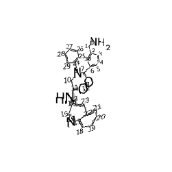 NCc1cccc(C(=O)N(CC(=O)Nc2cnc3ccccc3c2)c2ccccc2)c1